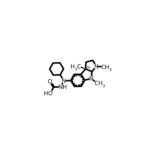 CN1CC[C@@]2(C)c3cc(N(NC(=O)O)C4CCCCC4)ccc3N(C)C12